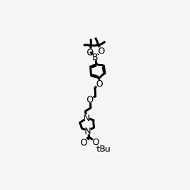 CC(C)(C)OC(=O)N1CCN(CCOCCOc2ccc(B3OC(C)(C)C(C)(C)O3)cc2)CC1